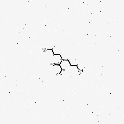 CCCCN(CCCO)C(=O)CCl